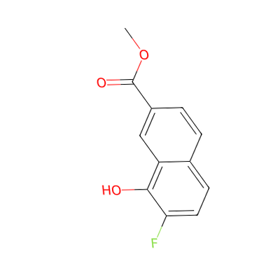 COC(=O)c1ccc2ccc(F)c(O)c2c1